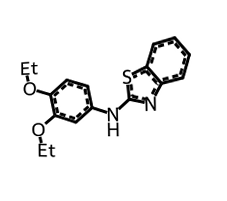 CCOc1ccc(Nc2nc3ccccc3s2)cc1OCC